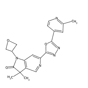 Cc1cc(-c2nnc(-c3cc4c(cn3)C(C)(C)C(=O)N4C3COC3)o2)ccn1